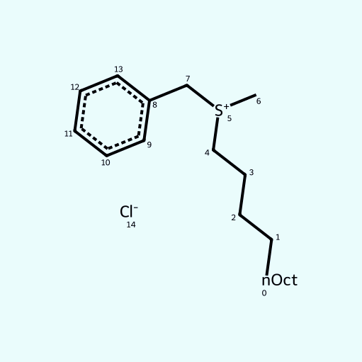 CCCCCCCCCCCC[S+](C)Cc1ccccc1.[Cl-]